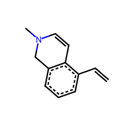 C=Cc1cccc2c1C=CN(C)C2